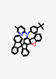 Cc1ccc(N(c2ccc(C(C)(C)C)cc2)c2cc3c(c4oc5ccccc5c24)-c2ccccc2C32c3ccccc3-c3ccccc32)nc1